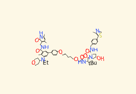 CCN(c1cc(-c2ccc(OCCCCCOCC(=O)N[C@H](C(=O)N3C[C@H](O)C[C@H]3C(=O)NCc3ccc(-c4scnc4C)cc3)C(C)(C)C)cc2)cc(C(=O)NCc2c(C)cc(C)[nH]c2=O)c1C)C1CCOCC1